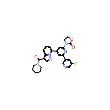 O=C(c1cnn2c(-c3cc(-c4cncc(F)c4)nc(N4CCOC4=O)c3)cccc12)N1CCCCC1